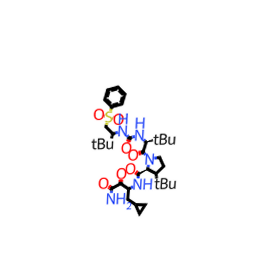 CC(C)(C)C(CS(=O)(=O)c1ccccc1)NC(=O)N[C@H](C(=O)N1CCC(C(C)(C)C)[C@H]1C(=O)NC(CC1CC1)C(=O)C(N)=O)C(C)(C)C